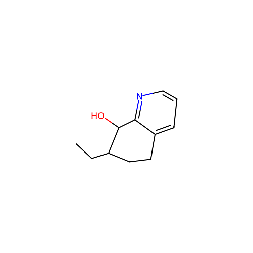 CCC1CCc2cccnc2C1O